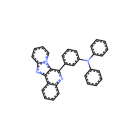 c1ccc(N(c2ccccc2)c2cccc(-c3nc4ccccc4c4nc5ccccn5c34)c2)cc1